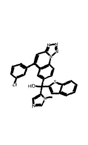 Cn1cncc1C(O)(c1ccc2c(c1)c(-c1cccc(Cl)c1)cc1nnnn12)c1cc2ccccc2s1